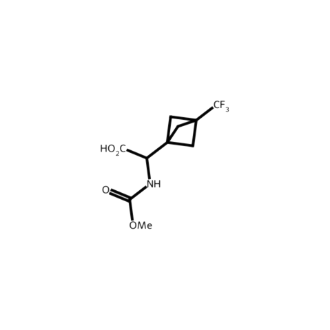 COC(=O)NC(C(=O)O)C12CC(C(F)(F)F)(C1)C2